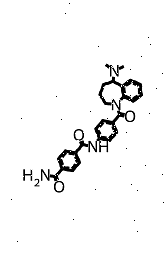 CN(C)C1CCCN(C(=O)c2ccc(NC(=O)c3ccc(C(N)=O)cc3)cc2)c2ccccc21